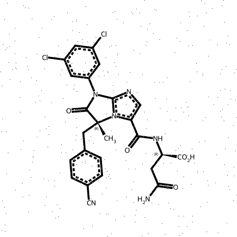 C[C@@]1(Cc2ccc(C#N)cc2)C(=O)N(c2cc(Cl)cc(Cl)c2)c2ncc(C(=O)N[C@H](CC(N)=O)C(=O)O)n21